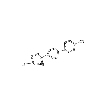 CCc1cnc(-c2ccc(-c3ccc(C#N)cc3)cc2)nc1